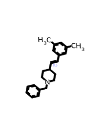 Cc1cc(C)cc(/C=C/C2CCN(Cc3ccccc3)CC2)c1